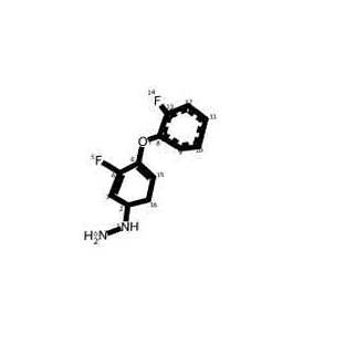 NNC1C=C(F)C(Oc2ccccc2F)=CC1